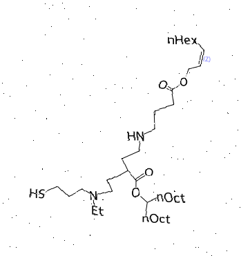 CCCCCC/C=C\COC(=O)CCCNCCC(CCN(CC)CCCS)C(=O)OC(CCCCCCCC)CCCCCCCC